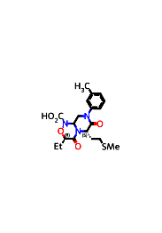 CC[C@H]1ON(C(=O)O)C2CN(c3cccc(C)c3)C(=O)[C@H](CCSC)N2C1=O